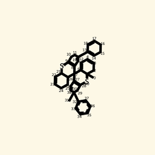 CC12CC=CC=C1C1(C3=C(CCC(C4=CCCC=C4)=C3)SC3C=CCCC31)C1=C(CC(C)(c3ccccc3)C=C1)S2